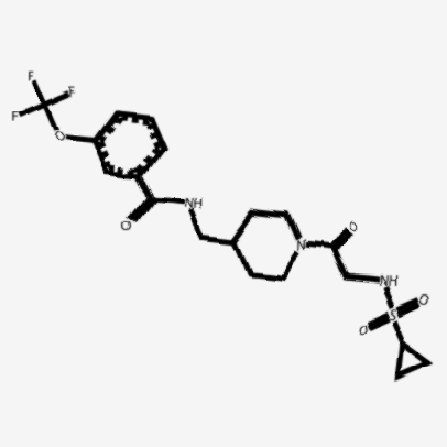 O=C(NCC1CCN(C(=O)CNS(=O)(=O)C2CC2)CC1)c1cccc(OC(F)(F)F)c1